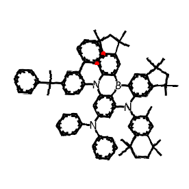 Cc1cc2c(cc1N1c3cc4c(cc3B3c5cc6c(cc5N(c5ccc(C(C)(C)c7ccccc7)cc5-c5ccccc5)c5cc(N(c7ccccc7)c7ccccc7)cc1c53)C(C)(C)CC6(C)C)C(C)(C)CC4(C)C)C(C)(C)CCC2(C)C